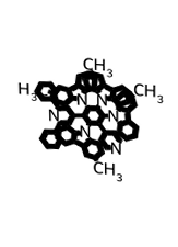 Cc1ccc2c(c1)c1ccccc1n2-c1c(-c2ccncc2)c(-n2c3ccccc3c3cc(C)ccc32)c(-n2c3ccccc3c3cc(C)ccc32)c(-n2c3ccccc3c3cc(C)ccc32)c1-c1cc(-c2ccccc2)nc(-c2ccccc2)c1